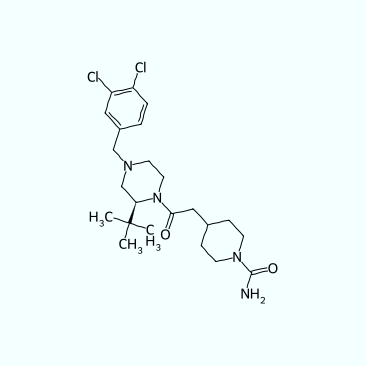 CC(C)(C)[C@H]1CN(Cc2ccc(Cl)c(Cl)c2)CCN1C(=O)CC1CCN(C(N)=O)CC1